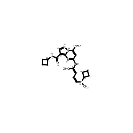 CNc1cc(N/C(C=O)=C/C=C\N(C)C2CCC2)nc2c(C(=O)NC3CCC3)cnn12